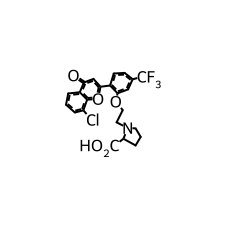 O=C(O)C1CCCN1CCOc1cc(C(F)(F)F)ccc1-c1cc(=O)c2cccc(Cl)c2o1